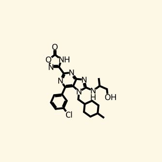 CC1CCC(Cn2c(NC(C)CO)nc3nc(-c4noc(=O)[nH]4)nc(-c4cccc(Cl)c4)c32)CC1